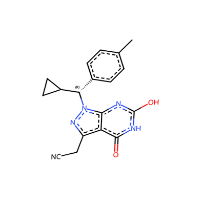 Cc1ccc([C@@H](C2CC2)n2nc(CC#N)c3c(=O)[nH]c(O)nc32)cc1